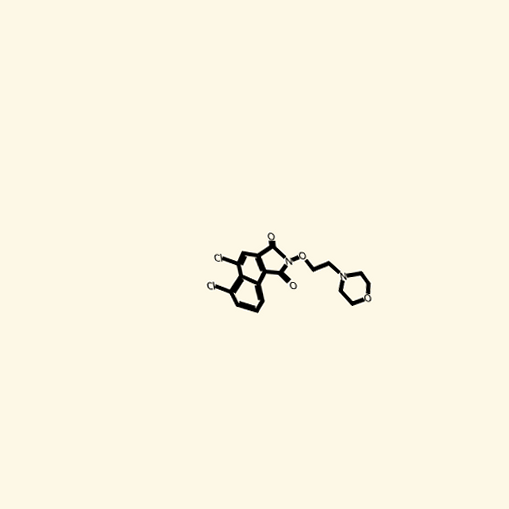 O=C1c2cc(Cl)c3c(Cl)cccc3c2C(=O)N1OCCN1CCOCC1